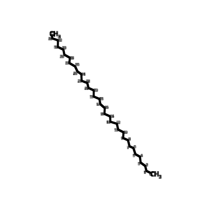 CCCCCCCCCCCCCCCCCCCCCCCCCCCCCCCCCCC